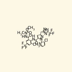 COC(=O)N(C)NC(=O)c1cc(C(F)(F)F)cc(C)c1NC(=O)c1cc(Cn2nnc(C(F)(F)F)n2)nn1-c1ncccc1Cl